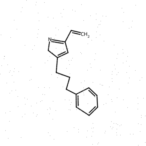 C=CC1=NCC(CCCc2ccccc2)=C1